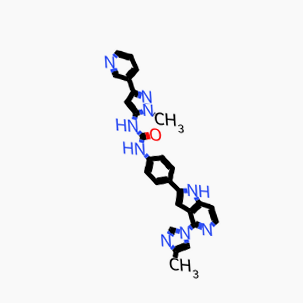 Cc1cn(-c2nccc3[nH]c(-c4ccc(NC(=O)Nc5cc(-c6cccnc6)nn5C)cc4)cc23)cn1